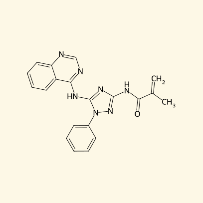 C=C(C)C(=O)Nc1nc(Nc2ncnc3ccccc23)n(-c2ccccc2)n1